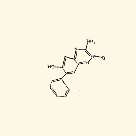 Cc1ccccc1-c1cc2n[n+]([O-])c(N)nc2cc1O